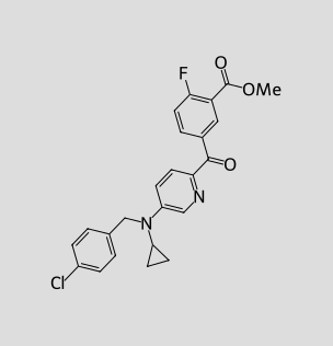 COC(=O)c1cc(C(=O)c2ccc(N(Cc3ccc(Cl)cc3)C3CC3)cn2)ccc1F